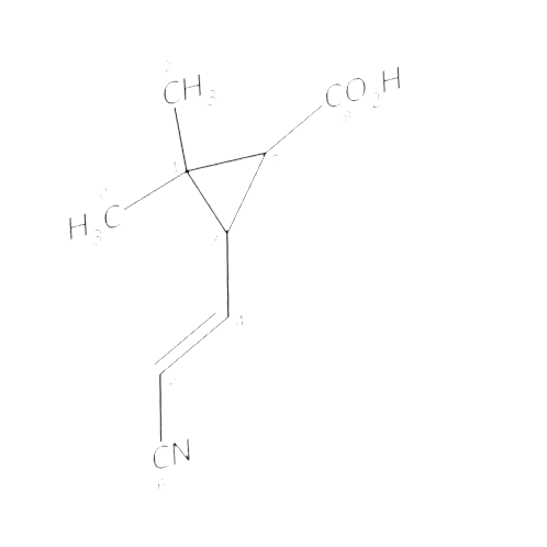 CC1(C)C(C=CC#N)C1C(=O)O